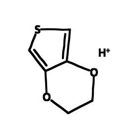 [H+].c1scc2c1OCCO2